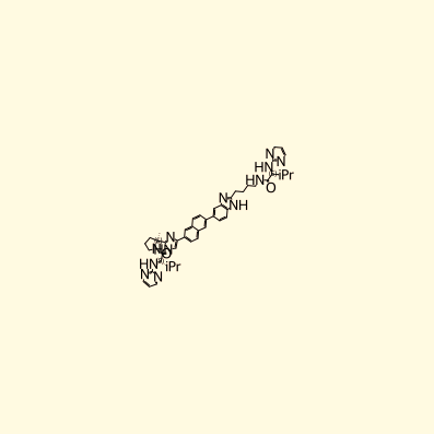 CC(C)[C@H](Nc1ncccn1)C(=O)NCCCCc1nc2cc(-c3ccc4cc(-c5c[nH]c([C@]6(C)CCCN6C(=O)[C@@H](Nc6ncccn6)C(C)C)n5)ccc4c3)ccc2[nH]1